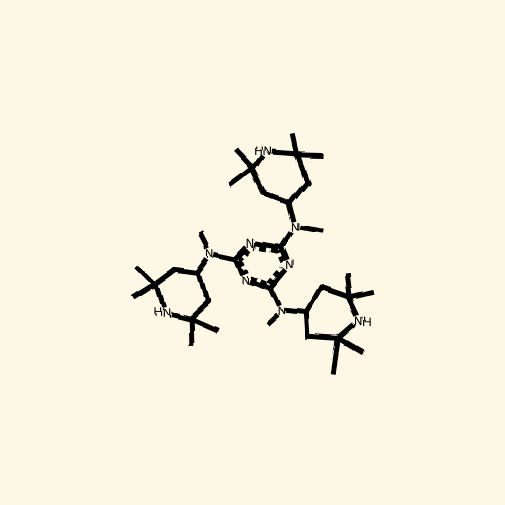 CN(c1nc(N(C)C2CC(C)(C)NC(C)(C)C2)nc(N(C)C2CC(C)(C)NC(C)(C)C2)n1)C1CC(C)(C)NC(C)(C)C1